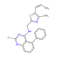 C/C=C\c1sc(CNc2nc(Cl)nc3cccc(-c4ccccc4)c23)nc1C